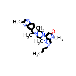 CC=CCn1cc2c(n1)c(N1C[C@@H](C)N([C@@H](C)c3ccc4ncc(C)nc4c3)C[C@@H]1C)cc(=O)n2C